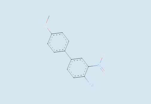 COc1ccc(-c2ccc(N)c([N+](=O)[O-])c2)cc1